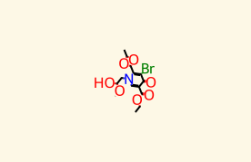 CCOC(=O)c1cn(CC(O)OC)c(C2OC(C)O2)c(Br)c1=O